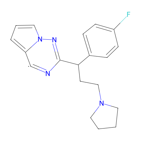 Fc1ccc(C(CCN2CCCC2)c2n[c]c3cccn3n2)cc1